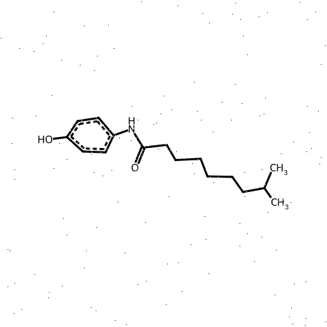 CC(C)CCCCCCC(=O)Nc1ccc(O)cc1